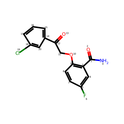 NC(=O)c1cc(F)ccc1OCC(=O)c1cccc(Cl)c1